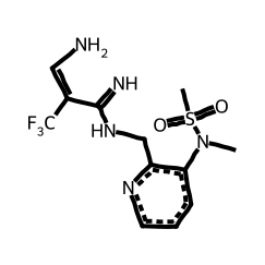 CN(c1cccnc1CNC(=N)/C(=C\N)C(F)(F)F)S(C)(=O)=O